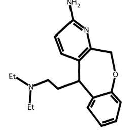 CCN(CC)CCC1c2ccccc2OCc2nc(N)ccc21